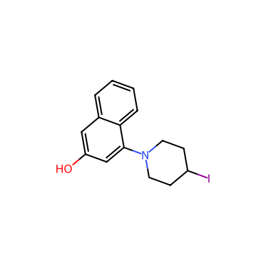 Oc1cc(N2CCC(I)CC2)c2ccccc2c1